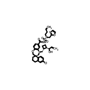 C=CCCN(Cc1ncco1)S(=O)(=O)NC(=O)c1ccc2c(c1)N(C[C@@H]1CC[C@H]1C(O)C=C)C[C@@]1(CCCc3cc(Cl)ccc31)CO2